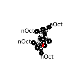 CCCCCCCCc1ccc(Oc2cccc(Oc3ccc(CCCCCCCC)cc3)c2-c2ccc(-c3c(Oc4ccccc4)c(Oc4ccccc4)c(-c4ccc(-c5c(Oc6ccc(CCCCCCCC)cc6)cccc5Oc5ccc(CCCCCCCC)cc5)s4)c4nsnc34)s2)cc1